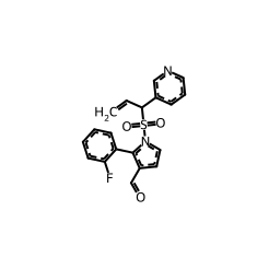 C=CC(c1cccnc1)S(=O)(=O)n1ccc(C=O)c1-c1ccccc1F